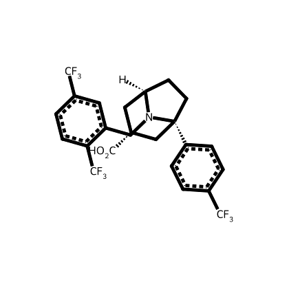 O=C(O)[C@@H]1C[C@H]2CC[C@@](c3ccc(C(F)(F)F)cc3)(C1)N2Cc1cc(C(F)(F)F)ccc1C(F)(F)F